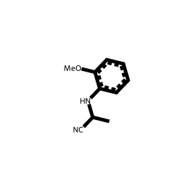 COc1ccccc1NC(C)C#N